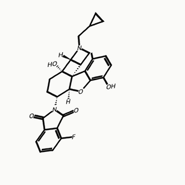 Cc1ccc(O)c2c1[C@]13C4CN(CC5CC5)[C@H]4[C@]1(O)CC[C@@H](N1C(=O)c4cccc(F)c4C1=O)[C@@H]3O2